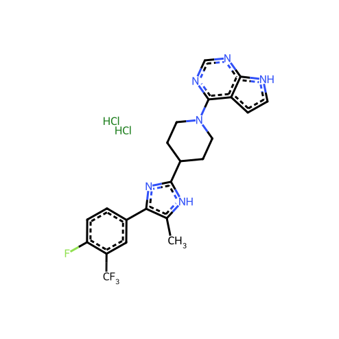 Cc1[nH]c(C2CCN(c3ncnc4[nH]ccc34)CC2)nc1-c1ccc(F)c(C(F)(F)F)c1.Cl.Cl